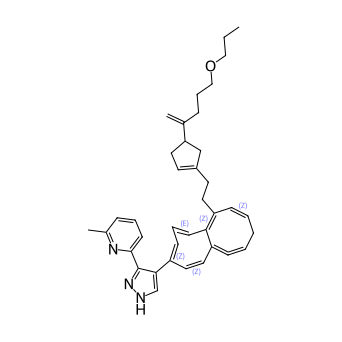 C=C(CCCOCCC)C1CC=C(CCC2=C3\C=C\C=C(c4c[nH]nc4-c4cccc(C)n4)\C=C/C3=C=CC/C=C\2)C1